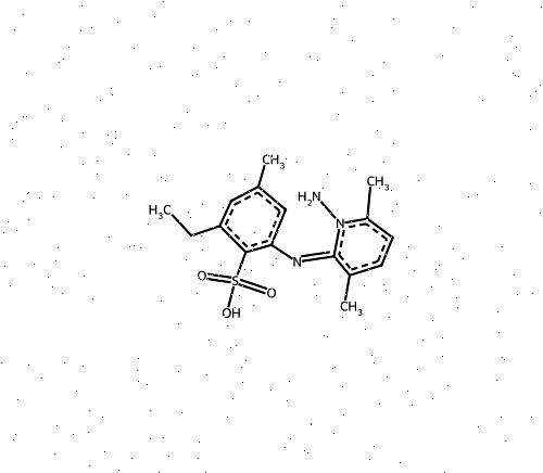 CCc1cc(C)cc(/N=c2/c(C)ccc(C)n2N)c1S(=O)(=O)O